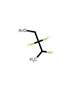 CC(=O)OCC(F)(F)C(C)F